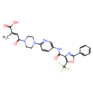 C/C(=C\C(=O)N1CCN(c2ccc(NC(=O)c3nc(-c4ccccc4)oc3C(F)(F)F)cn2)CC1)C(=O)O